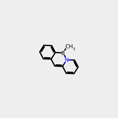 CB1c2ccccc2C=C2C=CC=CN12